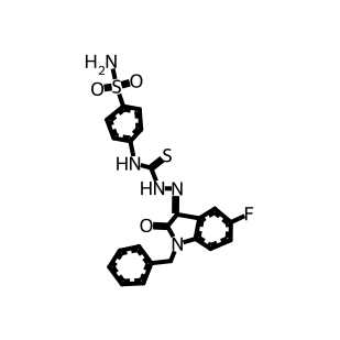 NS(=O)(=O)c1ccc(NC(=S)NN=C2C(=O)N(Cc3ccccc3)c3ccc(F)cc32)cc1